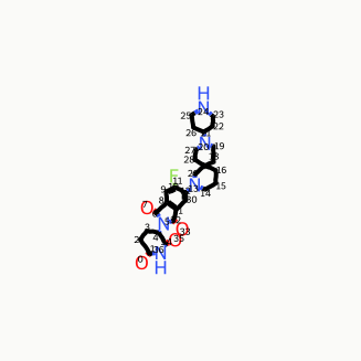 O=C1CCC(N2C(=O)c3cc(F)c(N4CCCC5(CCN(C6CCNCC6)CC5)C4)cc3C2=O)C(=O)N1